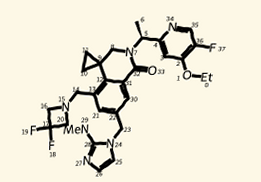 CCOc1cc([C@H](C)N2CC3(CC3)c3c(CN4CC(F)(F)C4)cc(Cn4ccnc4NC)cc3C2=O)ncc1F